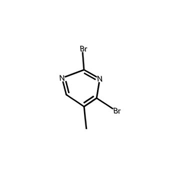 Cc1cnc(Br)nc1Br